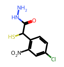 NNC(=O)C(S)c1ccc(Cl)cc1[N+](=O)[O-]